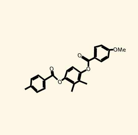 COc1ccc(C(=O)Oc2ccc(OC(=O)c3ccc(C)cc3)c(C)c2C)cc1